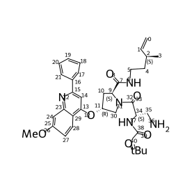 C=C[C@@H](C)CCNC(=O)[C@@H]1C[C@@H](Oc2cc(-c3ccccc3)nc3cc(OC)ccc23)CN1C(=O)[C@H](CN)NC(=O)OC(C)(C)C